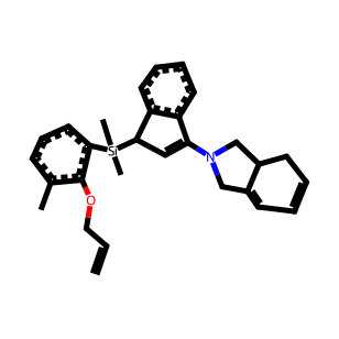 C=CCOc1c(C)cccc1[Si](C)(C)C1C=C(N2CC3=CC=CCC3C2)c2ccccc21